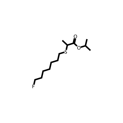 CC(C)OC(=O)C(C)SCCCCCCCF